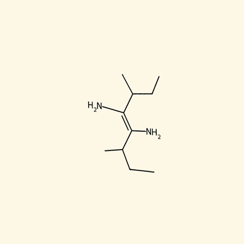 CCC(C)C(N)=C(N)C(C)CC